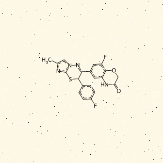 Cc1cn2c(n1)SC(c1ccc(F)cc1)C(c1cc(F)c3c(c1)NC(=O)CO3)=N2